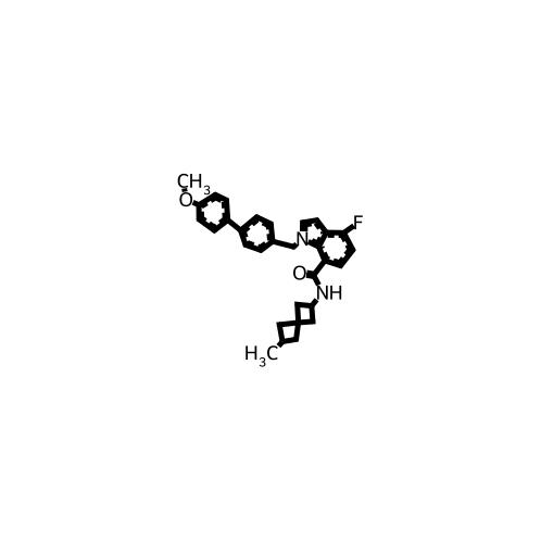 COc1ccc(-c2ccc(Cn3ccc4c(F)ccc(C(=O)NC5CC6(CC(C)C6)C5)c43)cc2)cc1